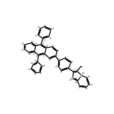 Cc1c(-c2ccc(-c3ccc4c(-c5ccccc5)c5ccccc5c(-c5ccccc5)c4c3)cc2)nc2ccccn12